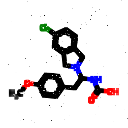 COc1ccc(CC(NC(=O)O)N2Cc3ccc(Cl)cc3C2)cc1